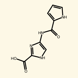 O=C(Nc1c[nH]c(C(=O)O)n1)c1ccc[nH]1